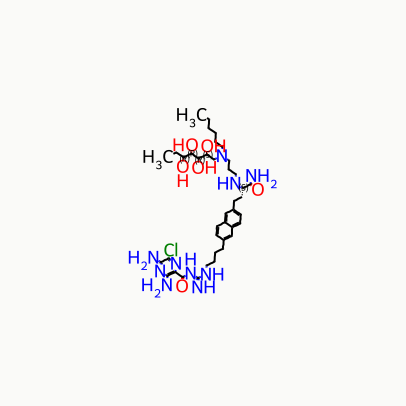 CCCCCCN(CCCN[C@@H](CCc1ccc2cc(CCCCNC(=N)NC(=O)c3nc(Cl)c(N)nc3N)ccc2c1)C(N)=O)C[C@H](O)[C@@H](O)[C@H](O)[C@H](O)CC